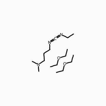 CCN=C=NCCCN(C)C.CCOCC.CCOCC